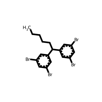 CCCCCC(c1cc(Br)cc(Br)c1)c1cc(Br)cc(Br)c1